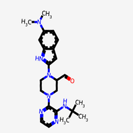 CN(C)c1ccc2cc(N3CCN(c4nccnc4NC(C)(C)C)CC3C=O)[nH]c2c1